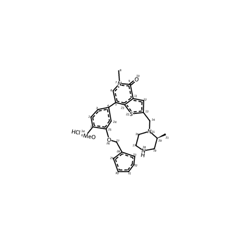 COc1ccc(-c2cn(C)c(=O)c3cc(CN4CCNC[C@@H]4C)sc23)cc1OCc1ccccc1.Cl